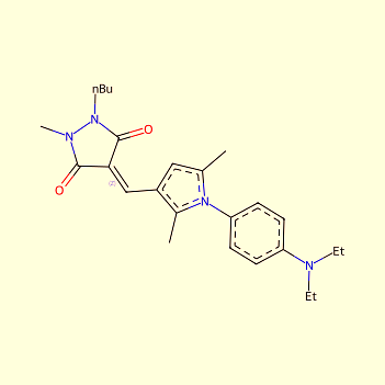 CCCCN1C(=O)/C(=C\c2cc(C)n(-c3ccc(N(CC)CC)cc3)c2C)C(=O)N1C